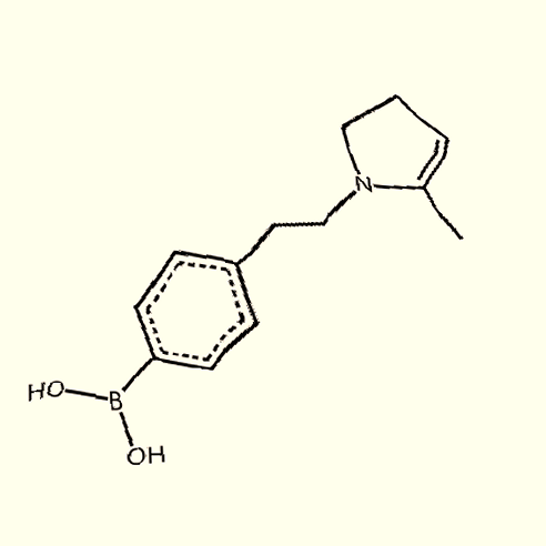 CC1=CCCN1CCc1ccc(B(O)O)cc1